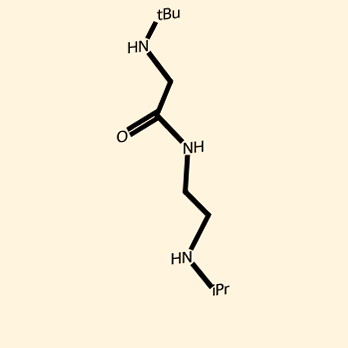 CC(C)NCCNC(=O)CNC(C)(C)C